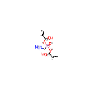 C=CC(O)OP(=O)(CN)OC(O)C=C